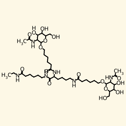 CCNC(=O)CCCCCNC(=O)C(CCCCNC(=O)CCCCCOC1OC(CO)C(O)C(O)C1NC(C)=O)NC(=O)CCCCCOC1OC(CO)C(O)C(O)C1NC(C)=O